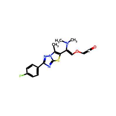 Cc1c(C(=COC=C=O)N(C)C)sc2nc(-c3ccc(F)cc3)nn12